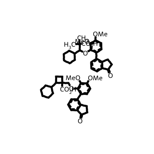 COc1ccc(-c2cccc3c2CCC3=O)c(OC(C2CCCCC2)C(C)(C)C(=O)O)c1OC.COc1ccc(-c2cccc3c2CCC3=O)c(OCC2(C(=O)O)CCC2C2CCCCC2)c1OC